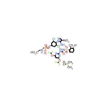 C[S+](C)C.Nc1c([N+](=O)[O-])cnn1-c1c(Cl)cc(C(F)(F)F)cc1Cl.O=C(Nc1nc(OC(F)F)cc(OC(F)F)n1)NS(=O)(=O)c1ccccc1C(=O)O.O=C(O)CNCP(=O)([O-])O